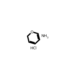 C1=CCOC=C1.Cl.N